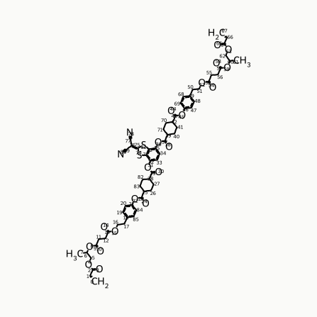 C=CC(=O)OCC(C)OC(=O)CCC(=O)OCCc1ccc(OC(=O)C2CCC(C(=O)Oc3ccc(OC(=O)C4CCC(C(=O)Oc5ccc(CCOC(=O)CCC(=O)OC(C)COC(=O)C=C)cc5)CC4)c4c3SC(=C(C#N)C#N)S4)CC2)cc1